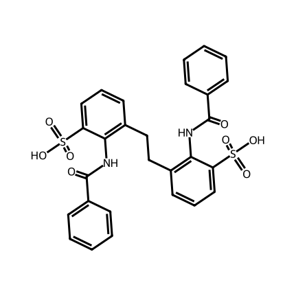 O=C(Nc1c(CCc2cccc(S(=O)(=O)O)c2NC(=O)c2ccccc2)cccc1S(=O)(=O)O)c1ccccc1